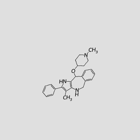 Cc1c(-c2ccccc2)[nH]c2c1NCc1ccccc1C2OC1CCN(C)CC1